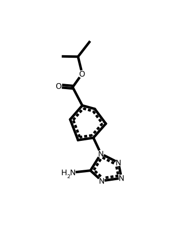 CC(C)OC(=O)c1ccc(-n2nnnc2N)cc1